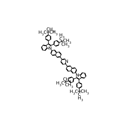 CC(C)(C)c1ccc(-c2c(-c3ccc(C(C)(C)C)cc3)n(-c3ccc4cc(-c5ccc(-c6ccc7cc(-n8c(-c9ccc(C(C)(C)C)cc9)c(-c9ccc(C(C)(C)C)cc9)c9ccccc98)ccc7c6)nc5)ccc4c3)c3ccccc23)cc1